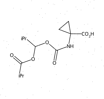 CC(C)C(=O)OC(OC(=O)NC1(C(=O)O)CC1)C(C)C